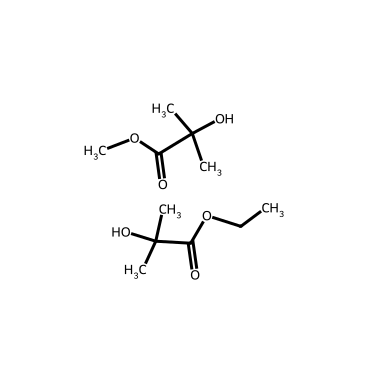 CCOC(=O)C(C)(C)O.COC(=O)C(C)(C)O